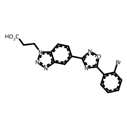 O=C(O)CCn1nnc2cc(-c3noc(-c4ccccc4Br)n3)ccc21